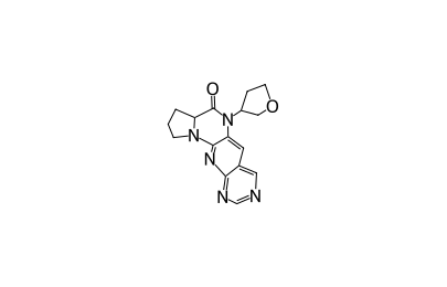 O=C1C2CCCN2c2nc3ncncc3cc2N1C1CCOC1